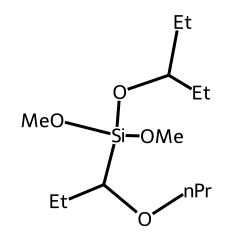 CCCOC(CC)[Si](OC)(OC)OC(CC)CC